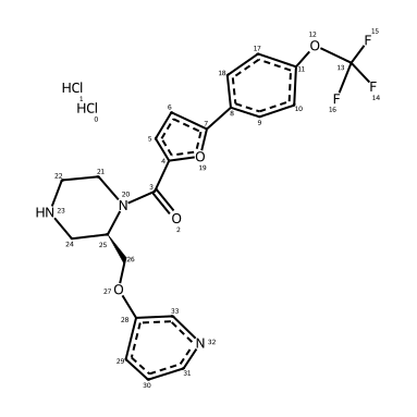 Cl.Cl.O=C(c1ccc(-c2ccc(OC(F)(F)F)cc2)o1)N1CCNC[C@@H]1COc1cccnc1